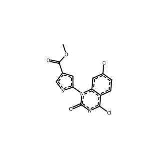 COC(=O)c1csc(-n2c(=O)nc(Cl)c3ccc(Cl)cc32)c1